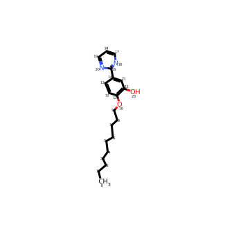 CCCCCCCCCCOc1ccc(-c2ncccn2)cc1O